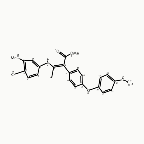 COC(=O)C(=C(C)Nc1ccc(Cl)c(OC)c1)c1ccc(Oc2ccc(OC(F)(F)F)cc2)cc1